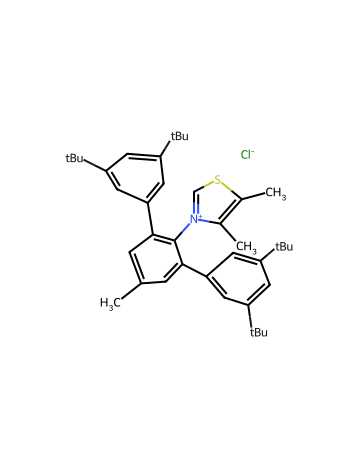 Cc1cc(-c2cc(C(C)(C)C)cc(C(C)(C)C)c2)c(-[n+]2csc(C)c2C)c(-c2cc(C(C)(C)C)cc(C(C)(C)C)c2)c1.[Cl-]